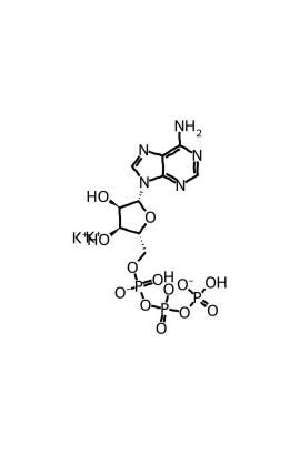 Nc1ncnc2c1ncn2[C@@H]1O[C@H](COP(=O)([O-])OP(=O)(O)OP(=O)([O-])O)[C@@H](O)[C@H]1O.[K+].[K+]